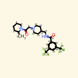 CC1CCCCN1C(=O)CN1CCC(CNC(=O)c2cc(C(F)(F)F)cc(C(F)(F)F)c2)CC1